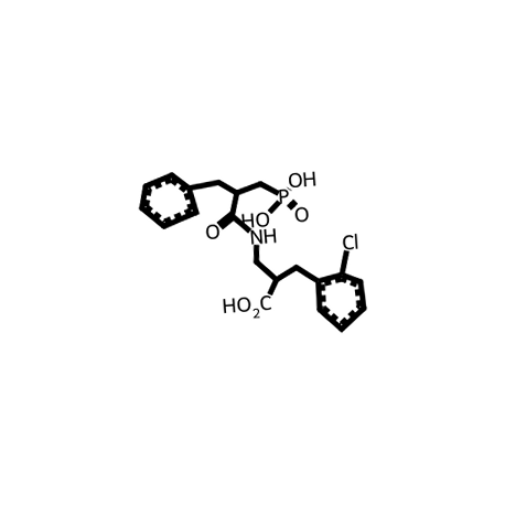 O=C(O)C(CNC(=O)C(Cc1ccccc1)CP(=O)(O)O)Cc1ccccc1Cl